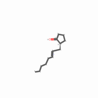 CCCCC/C=C/C[C@@H]1CCCC1=O